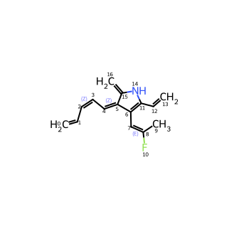 C=C/C=C\C=c1\c(/C=C(\C)F)c(C=C)[nH]c1=C